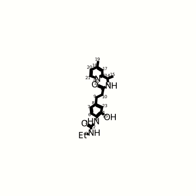 CCNC(=O)Nc1ccc(CCC(=O)NC(C)c2cc(C)ccn2)cc1O